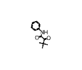 CC(C)(C)C(=O)C(=O)Nc1ccccc1